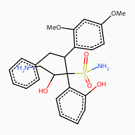 COc1ccc(C(Cc2ccccc2)C(c2ccccc2O)(C(O)CN)S(N)(=O)=O)c(OC)c1